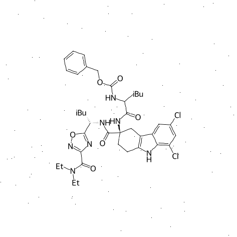 CCC(C)C(NC(=O)OCc1ccccc1)C(=O)N[C@]1(C(=O)N[C@H](c2nc(C(=O)N(CC)CC)no2)[C@@H](C)CC)CCc2[nH]c3c(Cl)cc(Cl)cc3c2C1